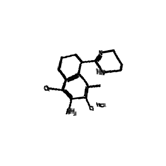 Cc1c(Cl)c(N)c(Cl)c2c1C(C1=NCCN1)CCC2.Cl